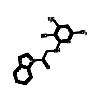 N#Cc1c(C(F)(F)F)cc(C(F)(F)F)nc1NCC(=O)n1ccc2ccccc21